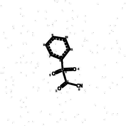 N#CC(=O)S(=O)(=O)c1ccccc1